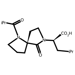 CC(C)C[C@H](C(=O)O)N1CC[C@]2(CCCN2C(=O)C(C)C)C1=O